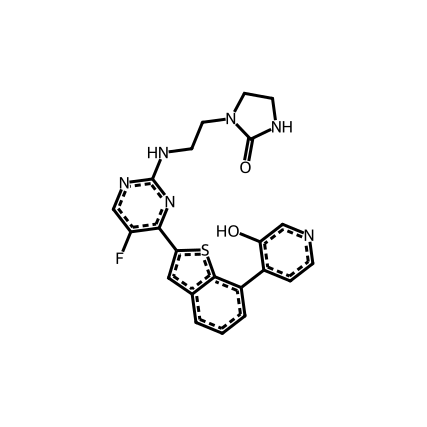 O=C1NCCN1CCNc1ncc(F)c(-c2cc3cccc(-c4ccncc4O)c3s2)n1